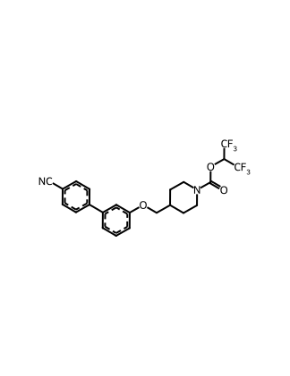 N#Cc1ccc(-c2cccc(OCC3CCN(C(=O)OC(C(F)(F)F)C(F)(F)F)CC3)c2)cc1